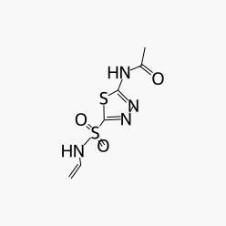 C=CNS(=O)(=O)c1nnc(NC(C)=O)s1